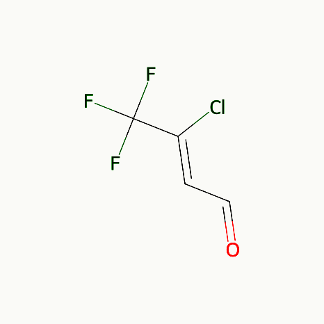 O=CC=C(Cl)C(F)(F)F